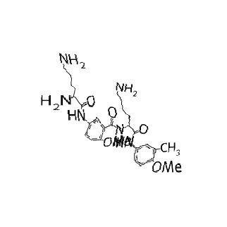 COc1ccc(NC(=O)[C@H](CCCCN)NC(=O)c2cc(NC(=O)[C@@H](N)CCCCN)ccc2OC)cc1C